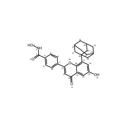 O=C(NO)c1ccc(-c2cc(=O)c3cc(O)cc(C45CC6CC(CC(C6)C4)C5)c3o2)cc1